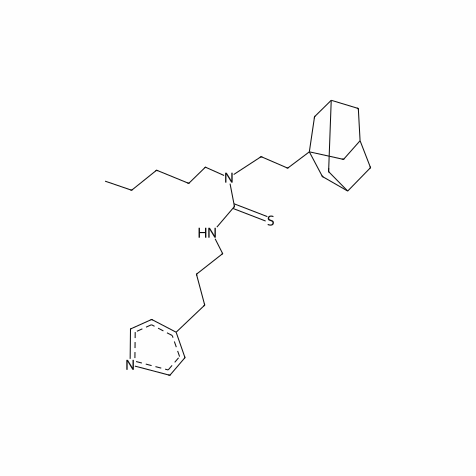 CCCCCN(CCC12CC3CC(CC(C3)C1)C2)C(=S)NCCCc1ccncc1